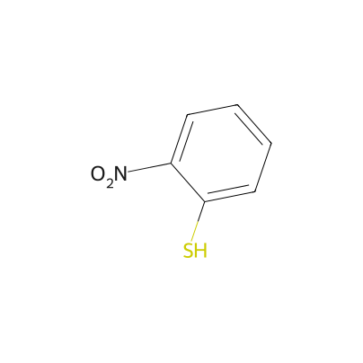 O=[N+]([O-])c1ccccc1S